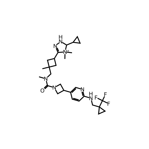 CN(CC1(C)CC(C2=NNC(C3CC3)[N+]2(C)C)C1)C(=O)N1CC(c2ccc(NCC3(C(F)(F)F)CC3)nc2)C1